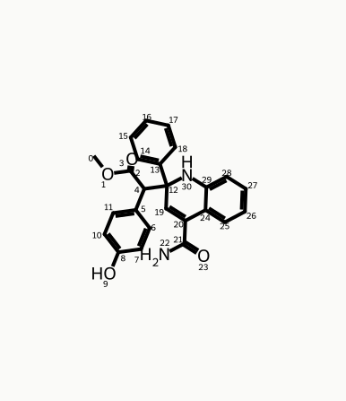 COC(=O)C(c1ccc(O)cc1)C1(c2ccccc2)C=C(C(N)=O)c2ccccc2N1